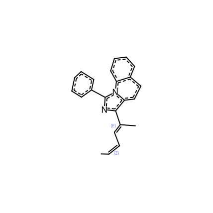 C/C=C\C=C(/C)c1nc(-c2ccccc2)n2c1ccc1ccccc12